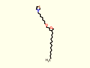 CCCCCCCCCCCCCCC1COC(COCCCCCCCN2C=CSC2)C1